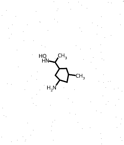 CC1CC(N)CC(C(C)NO)C1